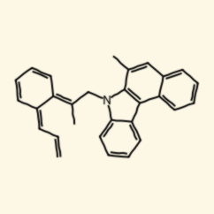 C=C/C=c1/cccc/c1=C(/C)Cn1c2ccccc2c2c3ccccc3cc(C)c21